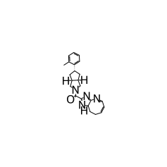 Cc1ccccc1[C@@H]1C[C@@H]2CN(C(=O)C3=N[C@H]4CC/C=C\C=N/C4=N3)C[C@@H]2C1